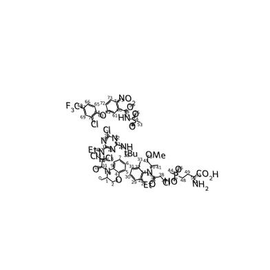 CC1COc2ccccc2N1C(=O)C(Cl)Cl.CCNc1nc(Cl)nc(NC(C)(C)C)n1.CCc1cccc(C)c1N(C(=O)CCl)C(C)COC.CP(=O)(O)CCC(N)C(=O)O.CS(=O)(=O)NC(=O)c1cc(Oc2ccc(C(F)(F)F)cc2Cl)ccc1[N+](=O)[O-]